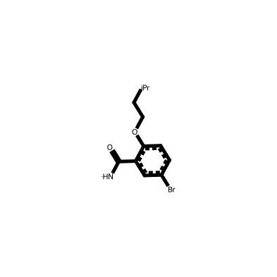 CC(C)CCOc1ccc(Br)cc1C([NH])=O